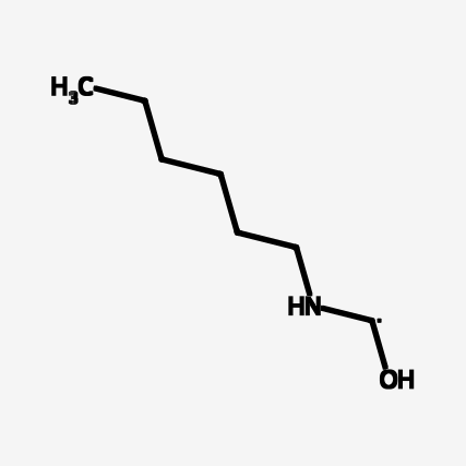 CCCCCCN[CH]O